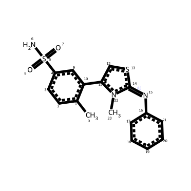 Cc1ccc(S(N)(=O)=O)cc1-c1cs/c(=N/c2ccccc2)n1C